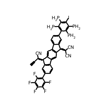 C#C/C(C#N)=C1\c2cc(-c3c(F)c(F)c(F)c(F)c3F)ccc2-c2cc3c(cc21)-c1ccc(-c2c(P)c(P)c(I)c(P)c2P)cc1C3=C(C#N)C#N